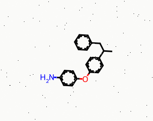 CC(Cc1ccccc1)c1ccc(Oc2ccc(N)cc2)cc1